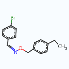 CCc1ccc(CO/N=[C]\c2ccc(Br)cc2)cc1